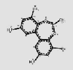 CCC(C)c1cc(P)cc2c1op(C)oc1c(P)cc(P)cc12